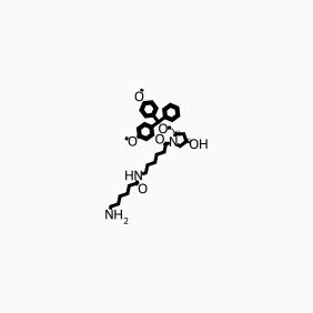 COc1ccc(C(OC[C@@H]2C[C@@H](O)CN2C(=O)CCCCCNC(=O)CCCCCN)(c2ccccc2)c2ccc(OC)cc2)cc1